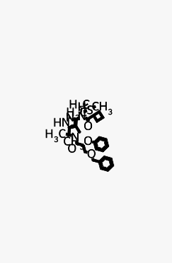 CC1(C)c2[nH]nc(NC(=O)C3(S(C)(C)C)CCC3)c2CN1C(=O)C(COCc1ccccc1)Oc1ccccc1